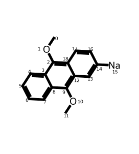 COc1c2ccccc2c(OC)c2c[c]([Na])ccc12